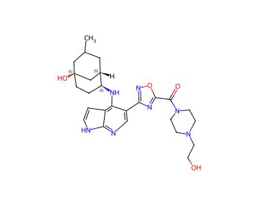 CC1C[C@H]2C[C@](O)(CC[C@@H]2Nc2c(-c3noc(C(=O)N4CCN(CCO)CC4)n3)cnc3[nH]ccc23)C1